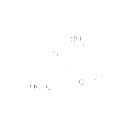 NOC(=O)C(=O)O.[Zn]